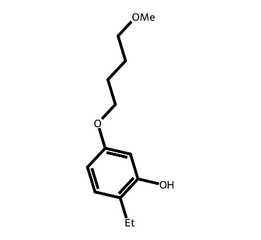 CCc1ccc(OCCCCOC)cc1O